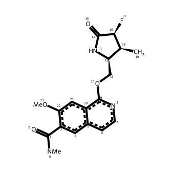 CNC(=O)c1cc2ccnc(OC[C@H]3NC(=O)[C@@H](F)[C@H]3C)c2cc1OC